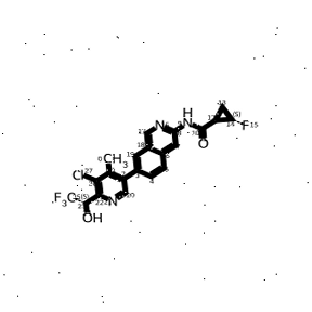 Cc1c(-c2ccc3cc(NC(=O)C4C[C@@H]4F)ncc3c2)cnc([C@H](O)C(F)(F)F)c1Cl